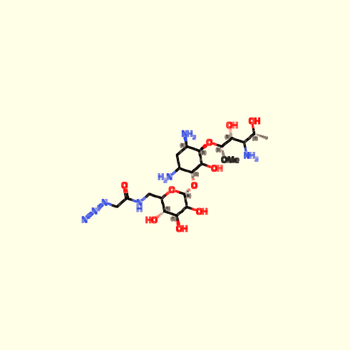 CO[C@H](O[C@H]1C(O)[C@H](O[C@H]2OC(CNC(=O)CN=[N+]=[N-])[C@@H](O)[C@H](O)C2O)C(N)C[C@H]1N)[C@H](O)C(N)[C@@H](C)O